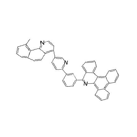 Cc1cccc2ccc3c(-c4ccc(-c5cccc(-c6nc7c8ccccc8c8ccccc8c7c7ccccc67)c5)nc4)ccnc3c12